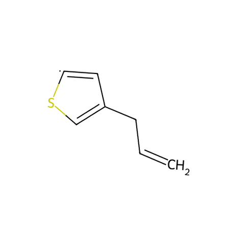 C=CCc1c[c]sc1